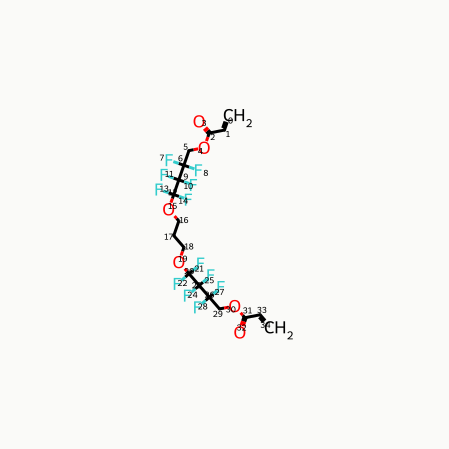 C=CC(=O)OCC(F)(F)C(F)(F)C(F)(F)OCCCOC(F)(F)C(F)(F)C(F)(F)COC(=O)C=C